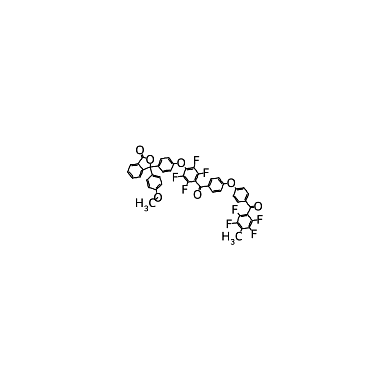 COc1ccc(C2(c3ccc(Oc4c(F)c(F)c(C(=O)c5ccc(Oc6ccc(C(=O)c7c(F)c(F)c(C)c(F)c7F)cc6)cc5)c(F)c4F)cc3)OC(=O)c3ccccc32)cc1